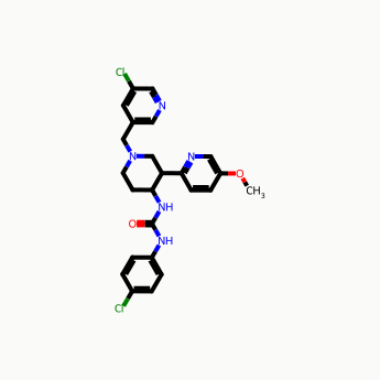 COc1ccc(C2CN(Cc3cncc(Cl)c3)CCC2NC(=O)Nc2ccc(Cl)cc2)nc1